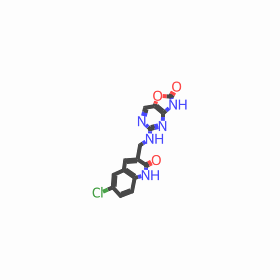 O=c1[nH]c2nc(NCc3cc4cc(Cl)ccc4[nH]c3=O)ncc2o1